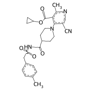 Cc1ccc(CS(=O)(=O)NC(=O)C2CCN(c3c(C#N)cnc(C)c3C(=O)OC3CC3)CC2)cc1